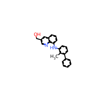 Cc1c(Nc2cccc3cc(CO)cnc23)cccc1-c1ccccc1